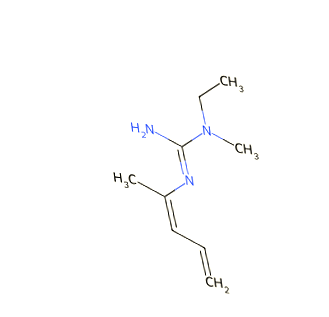 C=C/C=C(C)\N=C(/N)N(C)CC